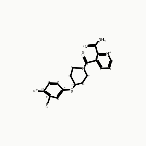 NC(=O)c1ncccc1C(=O)N1CCC(Oc2ccc(F)c(F)c2)CC1